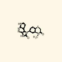 CN1C(=O)CSc2ccc(-n3c(=O)[nH]c4nnc5[nH]ccc5c43)cc21